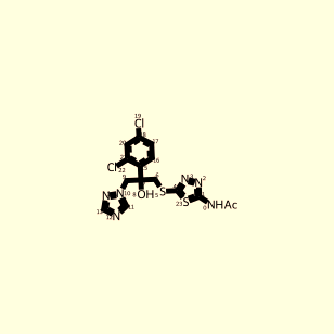 CC(=O)Nc1nnc(SCC(O)(Cn2cncn2)c2ccc(Cl)cc2Cl)s1